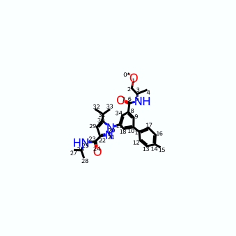 COCC(C)NC(=O)c1cc(-c2ccc(C)cc2)cc(-n2nc(C(=O)NC(C)C)cc2C(C)C)c1